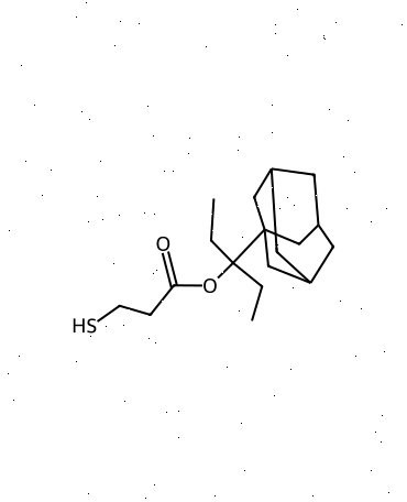 CCC(CC)(OC(=O)CCS)C12CC3CC(CC(C3)C1)C2